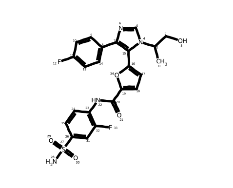 CC(CO)n1cnc(-c2ccc(F)cc2)c1-c1ccc(C(=O)Nc2ccc(S(N)(=O)=O)cc2F)o1